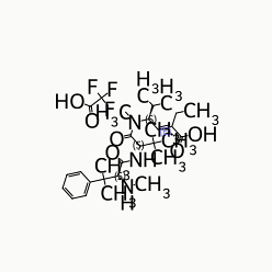 CC/C(=C\[C@H](C(C)C)N(C)C(=O)[C@@H](NC(=O)[C@@H](NC)C(C)(C)c1ccccc1)C(C)(C)C)C(=O)O.O=C(O)C(F)(F)F